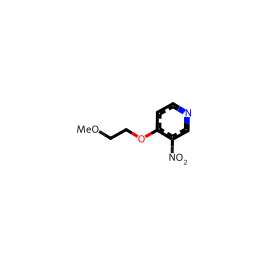 COCCOc1ccncc1[N+](=O)[O-]